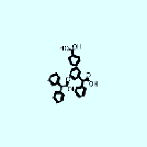 O=C(O)C(c1ccccc1)c1ccccc1.O=C(O)C(c1ccccc1)c1ccccc1.OC(O)c1ccccc1